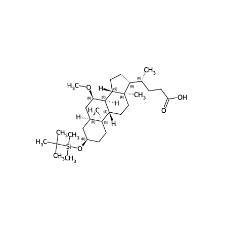 CO[C@@H]1C[C@@H]2C[C@H](O[Si](C)(C)C(C)(C)C)CC[C@]2(C)[C@H]2CC[C@]3(C)[C@@H]([C@H](C)CCC(=O)O)CC[C@H]3[C@H]12